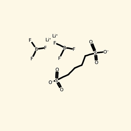 FB(F)F.FB(F)F.O=S(=O)([O-])CCCCS(=O)(=O)[O-].[Li+].[Li+]